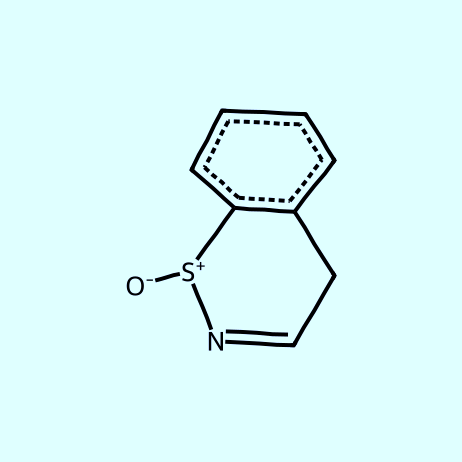 [O-][S+]1N=CCc2ccccc21